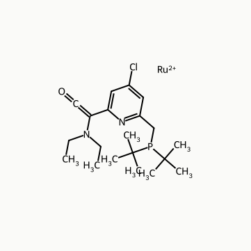 CCN(CC)C(=C=O)c1cc(Cl)cc(CP(C(C)(C)C)C(C)(C)C)n1.[Ru+2]